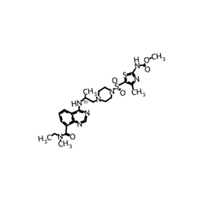 CCN(C)C(=O)c1cccc2c(N[C@@H](C)CN3CCN(S(=O)(=O)c4sc(NC(=O)OC)nc4C)CC3)ncnc12